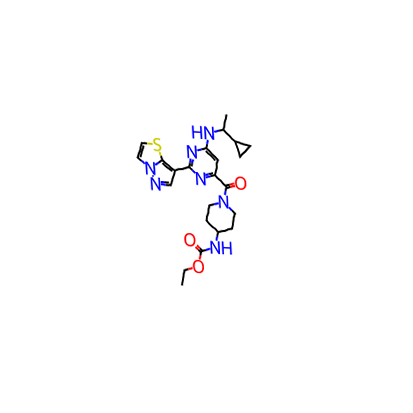 CCOC(=O)NC1CCN(C(=O)c2cc(NC(C)C3CC3)nc(-c3cnn4ccsc34)n2)CC1